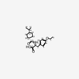 CCOc1ccc(C[C@H](NC(=O)[C@H]2CC[C@H](C(C)C)CC2)C(=O)O)cc1